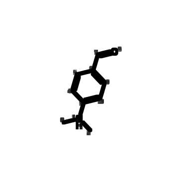 C[SiH](C)c1ccc(C=O)cc1